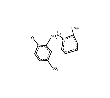 COc1cccc[n+]1N.O=[N+]([O-])c1ccc([O-])c([N+](=O)[O-])c1